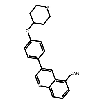 COc1cccc2ncc(-c3ccc(OC4CCNCC4)cc3)cc12